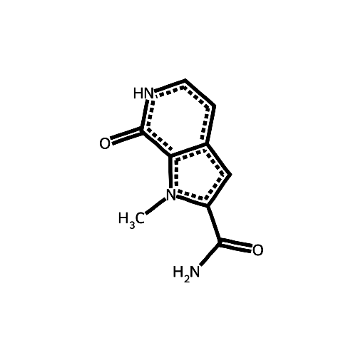 Cn1c(C(N)=O)cc2cc[nH]c(=O)c21